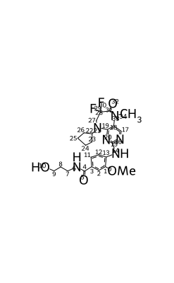 COc1cc(C(=O)NCCCO)ccc1Nc1ncc2c(n1)N(C1CCCC1)CC(F)(F)C(=O)N2C